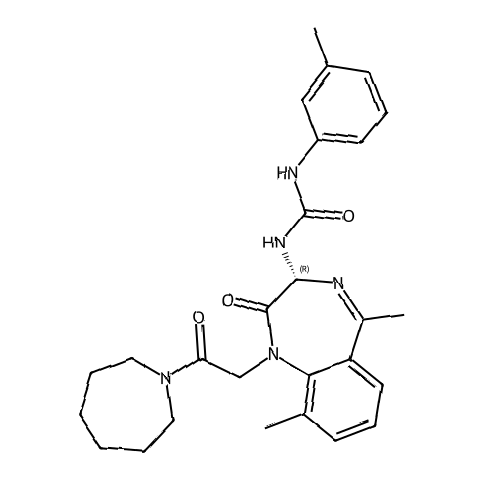 CC1=N[C@@H](NC(=O)Nc2cccc(C)c2)C(=O)N(CC(=O)N2CCCCCC2)c2c(C)cccc21